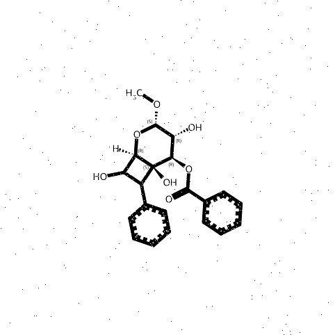 CO[C@H]1O[C@@H]2C(O)C(c3ccccc3)[C@@]2(O)[C@H](OC(=O)c2ccccc2)[C@H]1O